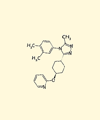 Cc1ccc(-n2c(C)nnc2[C@H]2CC[C@H](Oc3ccccn3)CC2)cc1C